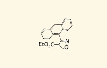 CCOC(=O)C1CON=C1c1c2ccccc2cc2ccccc12